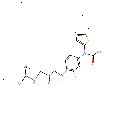 CC(=O)N(c1ccc(OCC(O)CNC(C)C)c(F)c1)c1cccs1